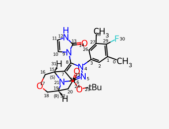 Cc1cc(-n2nc3c(c2-n2cc[nH]c2=O)[C@H]2COC[C@@H](C3)N2C(=O)OC(C)(C)C)cc(C)c1F